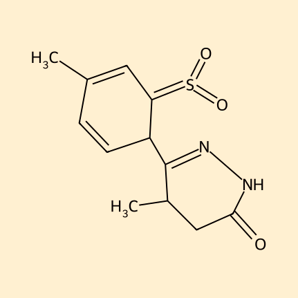 CC1=CC(=S(=O)=O)C(C2=NNC(=O)CC2C)C=C1